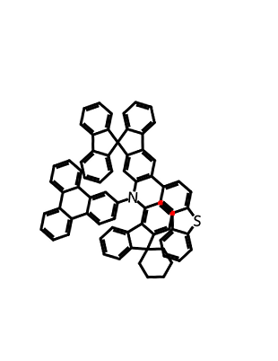 c1ccc2c(c1)-c1c(N(c3ccc4c5ccccc5c5ccccc5c4c3)c3cc4c(cc3-c3ccc5sc6ccccc6c5c3)-c3ccccc3C43c4ccccc4-c4ccccc43)cccc1C21CCCCC1